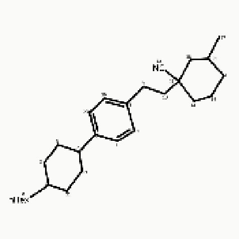 CCCCCCC1CCC(c2ccc(CCC3(C#N)CCCC(C)C3)cc2)CC1